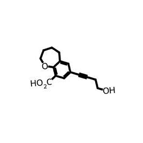 O=C(O)c1cc(C#CCCO)cc2c1OCCCC2